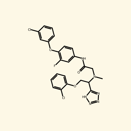 CN(CC(=O)Nc1ccc(Oc2cccc(Cl)c2)c(F)c1)C(COc1ccccc1Cl)c1nnn[nH]1